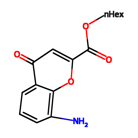 CCCCCCOC(=O)c1cc(=O)c2cccc(N)c2o1